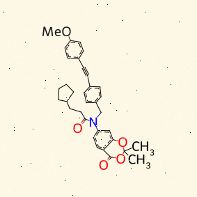 COc1ccc(C#Cc2ccc(CN(C(=O)CCC3CCCC3)c3ccc4c(c3)OC(C)(C)OC4=O)cc2)cc1